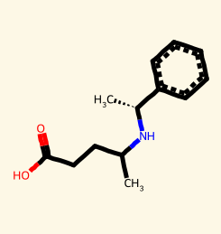 CC(CCC(=O)O)N[C@H](C)c1ccccc1